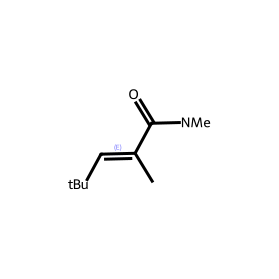 CNC(=O)/C(C)=C/C(C)(C)C